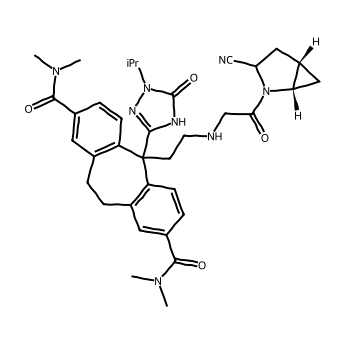 CC(C)n1nc(C2(CCNCC(=O)N3C(C#N)C[C@@H]4C[C@@H]43)c3ccc(C(=O)N(C)C)cc3CCc3cc(C(=O)N(C)C)ccc32)[nH]c1=O